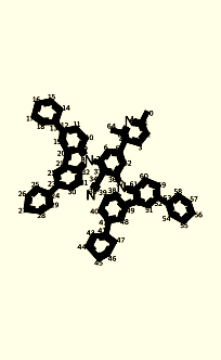 Cc1ccc(-c2cc(-n3c4ccc(-c5ccccc5)cc4c4cc(-c5ccccc5)ccc43)c(C#N)c(-n3c4ccc(-c5ccccc5)cc4c4cc(-c5ccccc5)ccc43)c2)c(C)n1